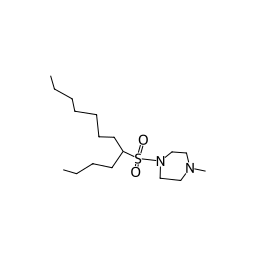 CCCCCCCC(CCCC)S(=O)(=O)N1CCN(C)CC1